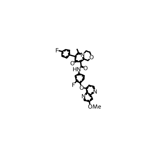 COc1cnc2c(Oc3ccc(NC(=O)c4c5n(c(C)c(-c6ccc(F)cc6)c4=O)CCOC5)cc3F)ccnc2c1